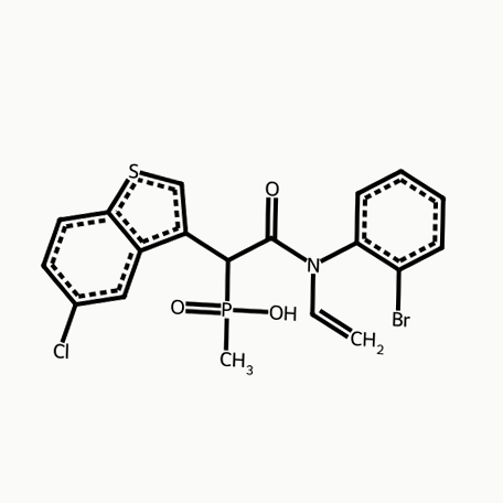 C=CN(C(=O)C(c1csc2ccc(Cl)cc12)P(C)(=O)O)c1ccccc1Br